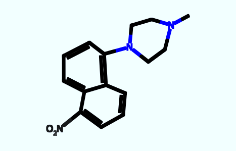 CN1CCN(c2cccc3c([N+](=O)[O-])cccc23)CC1